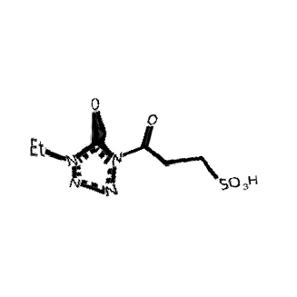 CCn1nnn(C(=O)CCS(=O)(=O)O)c1=O